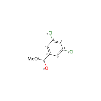 COC([O])c1cc(Cl)cc(Cl)c1